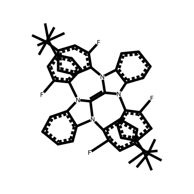 CC(C)(C)c1ccc(N2C(=C3N(c4ccc(C(C)(C)C)cc4F)c4ccccc4N3c3ccc(C(C)(C)C)cc3F)N(c3ccc(C(C)(C)C)cc3F)c3ccccc32)c(F)c1